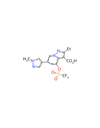 CCc1nn2cc(-c3cnn(C)c3)cc(OS(=O)(=O)C(F)(F)F)c2c1C(=O)O